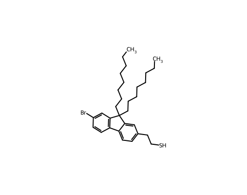 CCCCCCCCC1(CCCCCCCC)c2cc(Br)ccc2-c2ccc(CCS)cc21